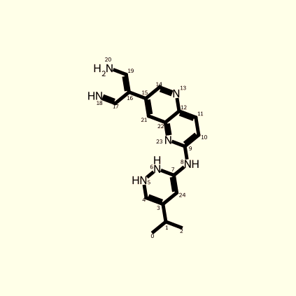 CC(C)C1=CNNC(Nc2ccc3ncc(/C(C=N)=C/N)cc3n2)=C1